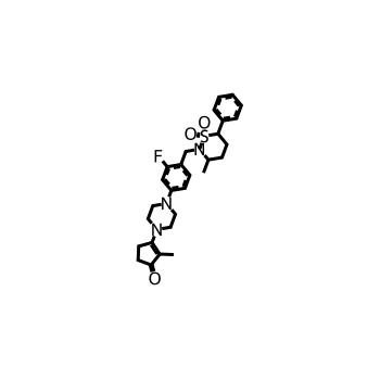 CC1=C(N2CCN(c3ccc(CN4C(C)CCC(c5ccccc5)S4(=O)=O)c(F)c3)CC2)CCC1=O